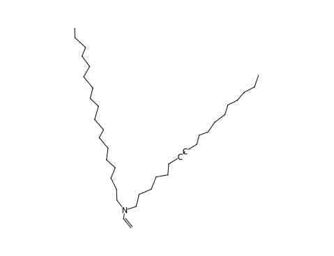 C=CN(CCCCCCCCCCCCCCCCCC)CCCCCCCCCCCCCCCCCC